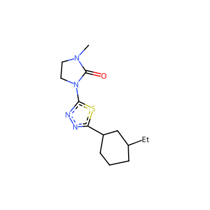 CCC1CCCC(c2nnc(N3CCN(C)C3=O)s2)C1